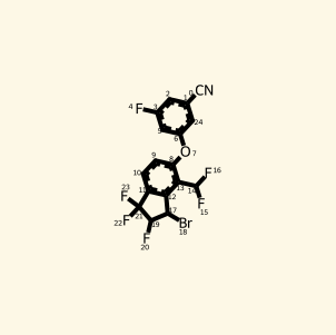 N#Cc1cc(F)cc(Oc2ccc3c(c2C(F)F)C(Br)C(F)C3(F)F)c1